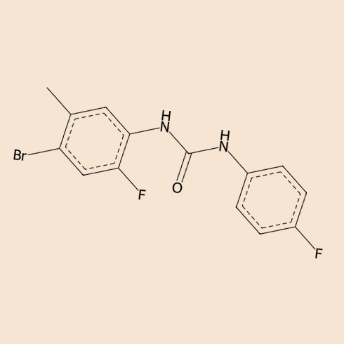 Cc1cc(NC(=O)Nc2ccc(F)cc2)c(F)cc1Br